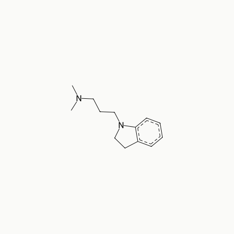 CN(C)CCCN1CCc2ccccc21